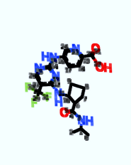 CC(C)NC(=O)C1CCCC1Nc1nc(Nc2ccc(C(=O)O)nc2)ncc1C(F)(F)F